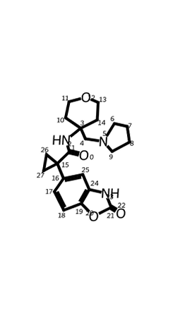 O=C(NC1(CN2CCCC2)CCOCC1)C1(c2ccc3oc(=O)[nH]c3c2)CC1